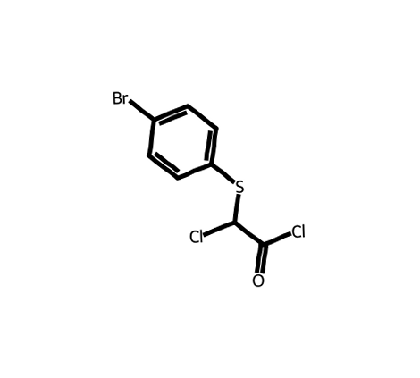 O=C(Cl)C(Cl)Sc1ccc(Br)cc1